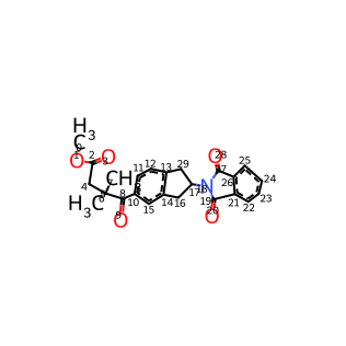 COC(=O)CC(C)(C)C(=O)c1ccc2c(c1)CC(N1C(=O)c3ccccc3C1=O)C2